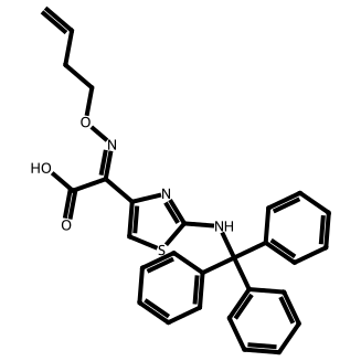 C=CCCON=C(C(=O)O)c1csc(NC(c2ccccc2)(c2ccccc2)c2ccccc2)n1